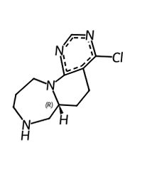 Clc1ncnc2c1CC[C@@H]1CNCCCN21